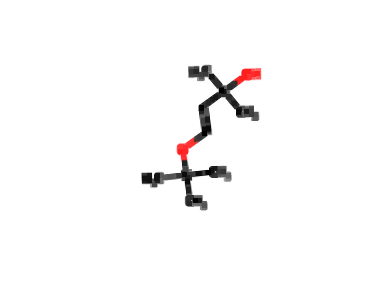 C[Si](C)(O)C=CO[Si](C)(C)C